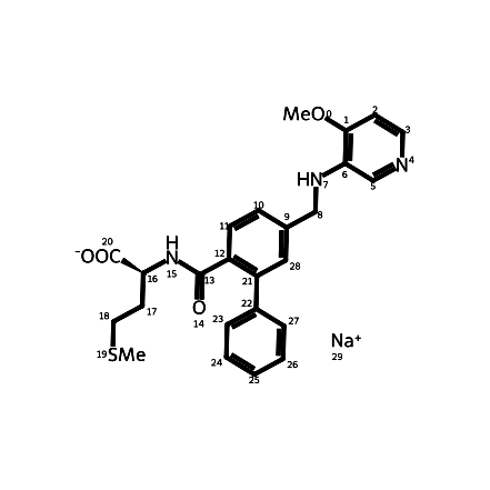 COc1ccncc1NCc1ccc(C(=O)N[C@@H](CCSC)C(=O)[O-])c(-c2ccccc2)c1.[Na+]